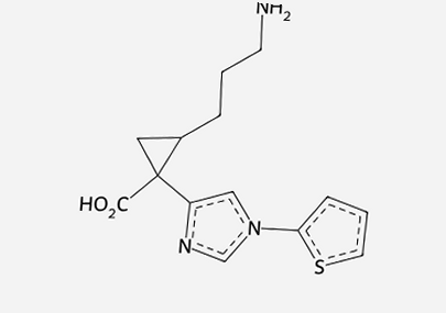 NCCCC1CC1(C(=O)O)c1cn(-c2cccs2)cn1